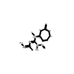 C=NN(CC)/C(=N\C(C)=N/F)N(C)C1CCCCC(=C)C1